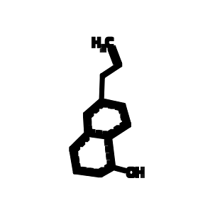 C=CCc1ccc2c(O)cccc2c1